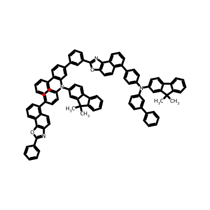 CC1(C)c2ccccc2-c2ccc(N(c3ccc(-c4cccc5c4ccc4oc(-c6cccc(-c7ccc(-c8ccccc8)c(N(c8ccc(-c9cccc%10c9ccc9nc(-c%11ccccc%11)oc9%10)cc8)c8ccc9c(c8)C(C)(C)c8ccccc8-9)c7)c6)nc45)cc3)c3cccc(-c4ccccc4)c3)cc21